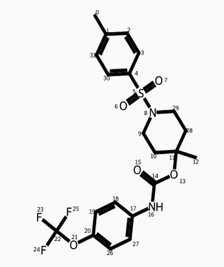 Cc1ccc(S(=O)(=O)N2CCC(C)(OC(=O)Nc3ccc(OC(F)(F)F)cc3)CC2)cc1